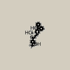 CC(C)(C)c1ccc(C(=O)CCCN2CCC(C(O)(c3ccccc3)c3ccccc3)CC2)cc1O.Cl